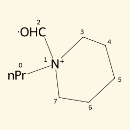 CCC[N+]1([C]=O)CCCCC1